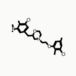 Cc1cc(Cl)c(C)c(OCCN2CCOC(Cc3cc(Cl)c(C)c(N(C)C)c3)C2)c1